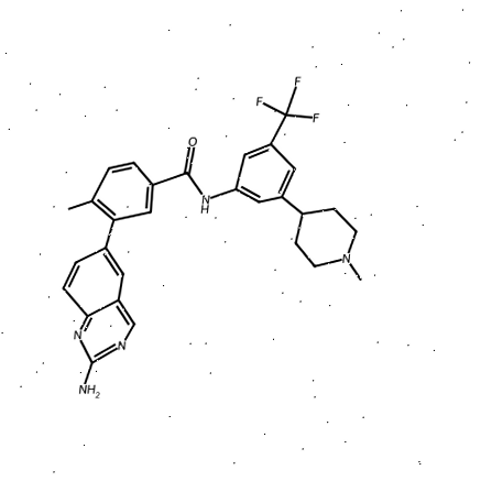 Cc1ccc(C(=O)Nc2cc(C3CCN(C)CC3)cc(C(F)(F)F)c2)cc1-c1ccc2nc(N)ncc2c1